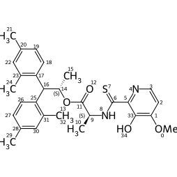 COc1ccnc(C(=S)N[C@@H](C)C(=O)O[C@@H](C)C(c2ccc(C)cc2C)c2ccc(C)cc2C)c1O